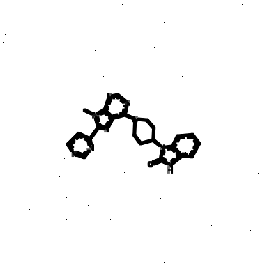 Cn1c(-c2ccncn2)nc2c(N3CCC(n4c(=O)[nH]c5ccccc54)CC3)ncnc21